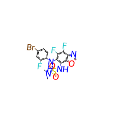 CN(C)S(=O)(=O)Nc1c(Nc2ccc(Br)cc2F)c(F)c(F)c2ncoc12